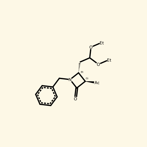 CCOC(C[C@@H]1[C@@H](C(C)=O)C(=O)N1Cc1ccccc1)OCC